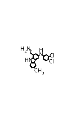 Cc1ccc2[nH]c3c(CCN)cc(Nc4ccc(Cl)c(Cl)c4)cc3c2c1